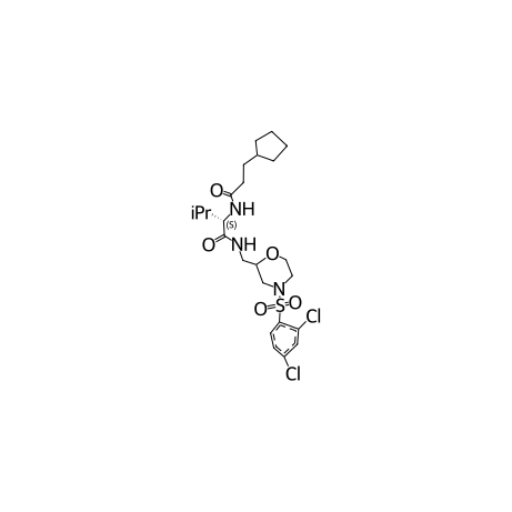 CC(C)[C@H](NC(=O)CCC1CCCC1)C(=O)NCC1CN(S(=O)(=O)c2ccc(Cl)cc2Cl)CCO1